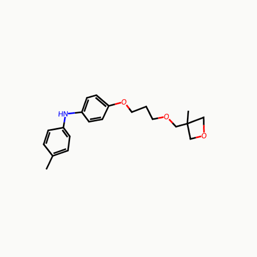 Cc1ccc(Nc2ccc(OCCCOCC3(C)COC3)cc2)cc1